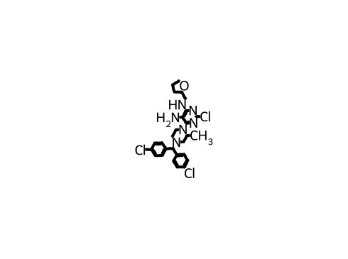 CC1CN(C(c2ccc(Cl)cc2)c2ccc(Cl)cc2)CCN1c1nc(Cl)nc(NCC2CCCO2)c1N